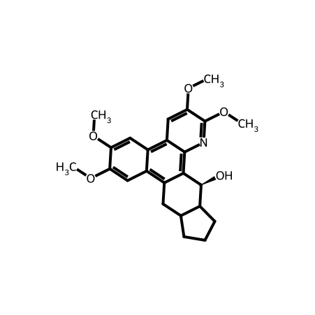 COc1cc2c3c(c4nc(OC)c(OC)cc4c2cc1OC)[C@@H](O)C1CCCC1C3